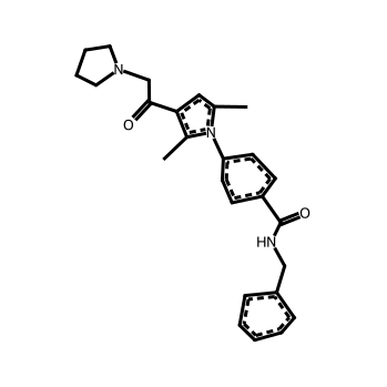 Cc1cc(C(=O)CN2CCCC2)c(C)n1-c1ccc(C(=O)NCc2ccccc2)cc1